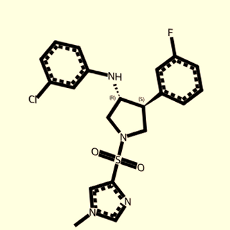 Cn1cnc(S(=O)(=O)N2C[C@H](Nc3cccc(Cl)c3)[C@@H](c3cccc(F)c3)C2)c1